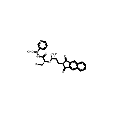 CC(C)C[C@H](N[C@H](CCN1C(=O)c2cc3ccccc3cc2C1=O)C(=O)O)C(=O)NN(C=O)c1cccnc1